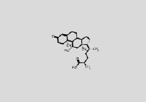 C[C@H](CC[C@@H](C)[C@H]1CCC2C3CCC4=CC(=O)CC[C@]4(C)C3[C@@H](O)C[C@@]21C)C(=O)O